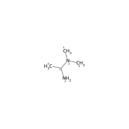 CC(N)N(C)C